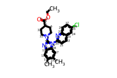 CCOC(=O)C1CCN(c2nc3cc(C)c(C)cc3n2-c2ccc3cc(Cl)ccc3n2)CC1